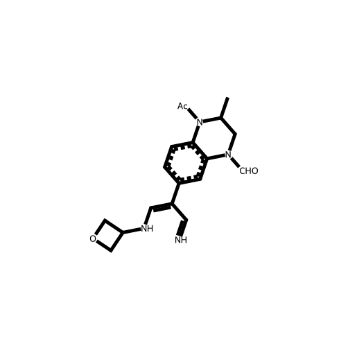 CC(=O)N1c2ccc(/C(C=N)=C/NC3COC3)cc2N(C=O)CC1C